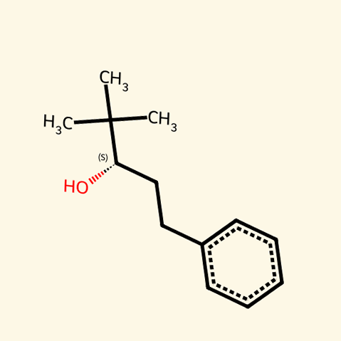 CC(C)(C)[C@@H](O)CCc1ccccc1